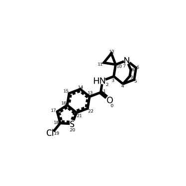 O=C(NC1C2CCN(CC2)C12CC2)c1ccc2cc(Cl)sc2c1